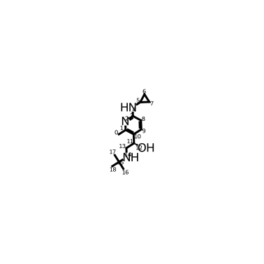 Cc1nc(NC2CC2)ccc1[C@@H](O)CNC(C)(C)C